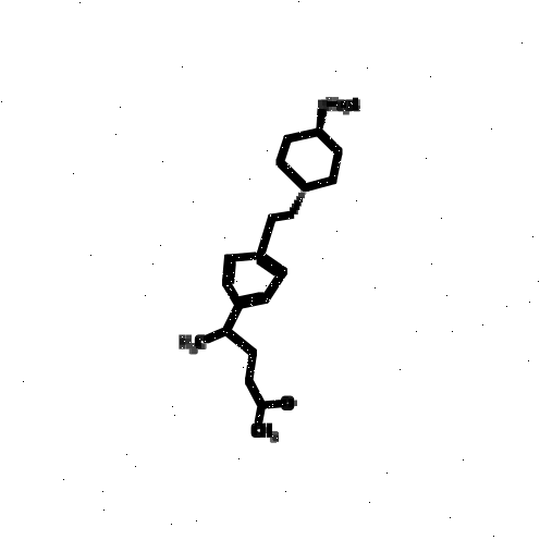 CCCCCCC[C@H]1CC[C@H](CCc2ccc(C(C)CCC(C)[O])cc2)CC1